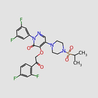 CC(C)S(=O)(=O)N1CCN(c2cnn(-c3cc(F)cc(F)c3)c(=O)c2OCC(=O)c2ccc(F)cc2F)CC1